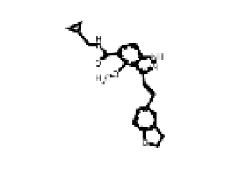 COc1c(C(=O)NCC2CC2)ccc2[nH]nc(C=Cc3ccc4c(c3)CCO4)c12